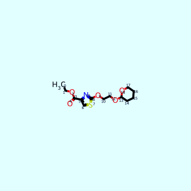 CCOC(=O)c1csc(OCCOC2CCCCO2)n1